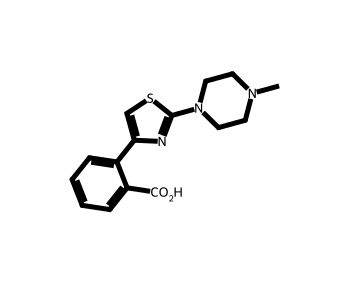 CN1CCN(c2nc(-c3ccccc3C(=O)O)cs2)CC1